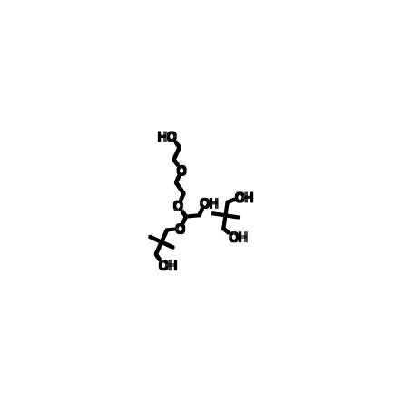 CC(C)(CO)CO.CC(C)(CO)COC(CO)OCCOCCO